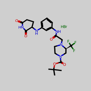 Br.CC(C)(C)OC(=O)N1CCN(CC(=O)Nc2cccc(NC3CCC(=O)NC3=O)c2)[C@@H](C(F)(F)F)C1